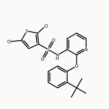 CC(C)(C)c1ccccc1Oc1ncccc1NS(=O)(=O)c1cc(Cl)sc1Cl